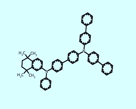 CC1(C)CCC(C)(C)c2cc(N(c3ccccc3)c3ccc(-c4ccc(N(c5ccc(-c6ccccc6)cc5)c5ccc(-c6ccccc6)cc5)cc4)cc3)ccc21